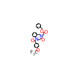 O=C(CN1Cc2ccccc2N(C(=O)c2ccc(OC(F)(F)F)cc2)CC1=O)OCc1ccccc1